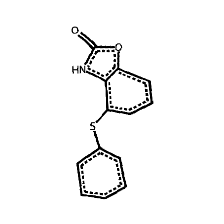 O=c1[nH]c2c(Sc3ccccc3)cccc2o1